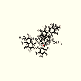 [2H]c1c([2H])c(F)c(F)c(CSc2c([2H])c(=O)c3c([2H])c(C)c([2H])c([2H])c3n2CC(=O)N(Cc2c([2H])c([2H])c(-c3c([2H])c([2H])c(C(F)(F)F)c([2H])c3[2H])c([2H])c2[2H])C2([2H])C([2H])([2H])C([2H])([2H])N(C([2H])([2H])COC)C([2H])([2H])C2([2H])[2H])c1[2H]